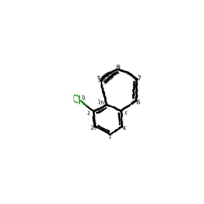 Clc1[c]ccc2ccccc12